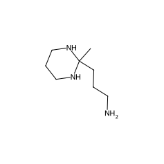 CC1(CCCN)NCCCN1